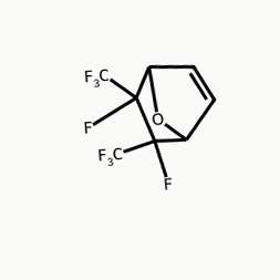 FC(F)(F)C1(F)C2C=CC(O2)C1(F)C(F)(F)F